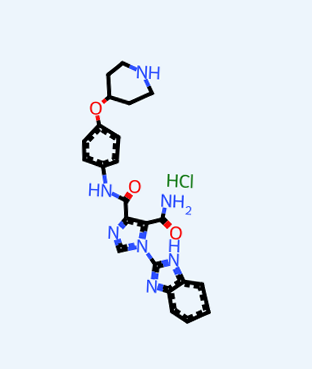 Cl.NC(=O)c1c(C(=O)Nc2ccc(OC3CCNCC3)cc2)ncn1-c1nc2ccccc2[nH]1